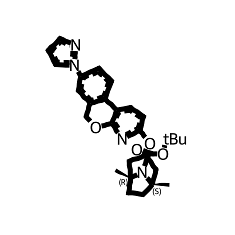 CC(C)(C)OC(=O)N1[C@@]2(C)CC[C@]1(C)CC(Oc1ccc3c(n1)OCc1cc(-n4cccn4)ccc1-3)C2